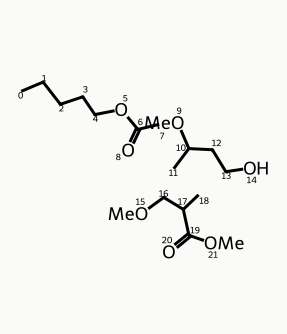 CCCCCOC(C)=O.COC(C)CCO.COCC(C)C(=O)OC